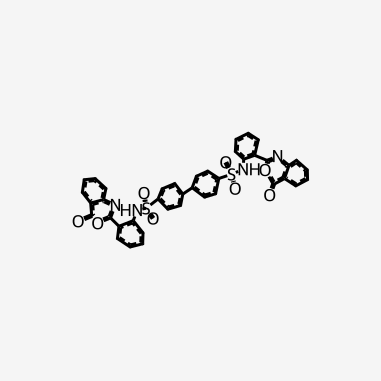 O=c1oc(-c2ccccc2NS(=O)(=O)c2ccc(-c3ccc(S(=O)(=O)Nc4ccccc4-c4nc5ccccc5c(=O)o4)cc3)cc2)nc2ccccc12